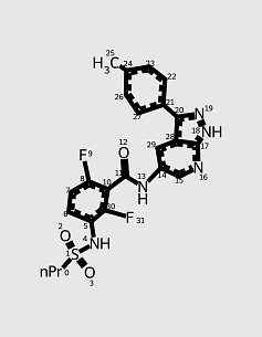 CCCS(=O)(=O)Nc1ccc(F)c(C(=O)Nc2cnc3[nH]nc(-c4ccc(C)cc4)c3c2)c1F